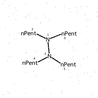 CCCCCN(CCCCC)N(CCCCC)CCCCC